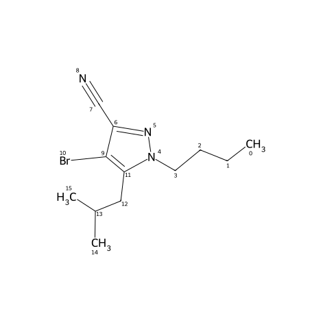 CCCCn1nc(C#N)c(Br)c1CC(C)C